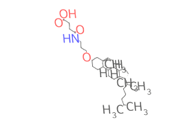 CC(C)CCC[C@H](C)[C@H]1CC[C@@H]2[C@@H]3CC=C4C[C@@H](OCCCNC(=O)CCC(=O)O)CC[C@]4(C)[C@@H]3CC[C@@]21C